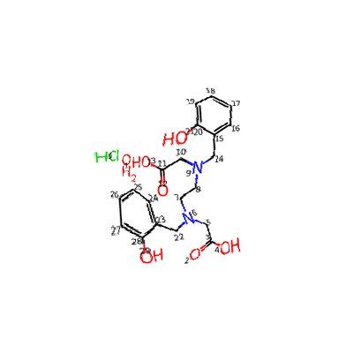 Cl.O.O=C(O)CN(CCN(CC(=O)O)Cc1ccccc1O)Cc1ccccc1O